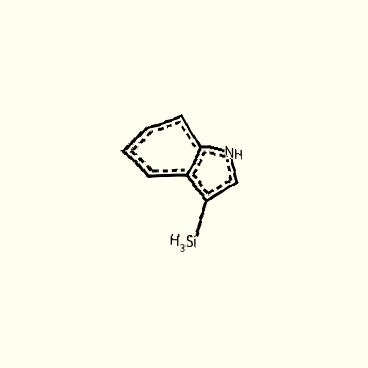 [SiH3]c1c[nH]c2ccccc12